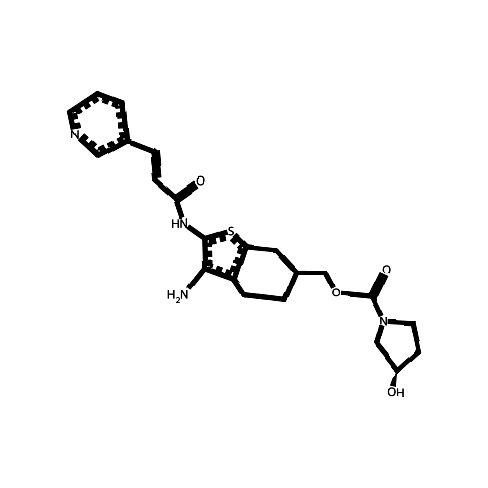 Nc1c(NC(=O)/C=C/c2cccnc2)sc2c1CCC(COC(=O)N1CC[C@@H](O)C1)C2